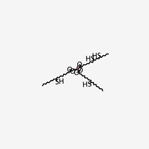 CCCCCCCCC(S)CCCCCCCCC(=O)OCC(COC(=O)CCCCCCCC(S)CCCC(S)CCCCC)OC(=O)CCCCCCCCC(S)CCCCCCCC